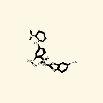 COc1ccc2nc(NS(=O)(=O)c3ccc(N[C@H]4CCCC[C@@H]4N(C)C)cc3F)sc2c1.O=CO